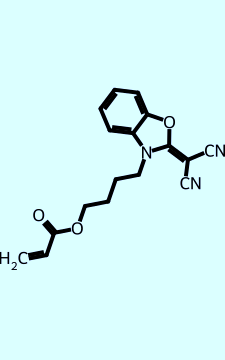 C=CC(=O)OCCCCN1C(=C(C#N)C#N)Oc2ccccc21